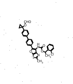 Cc1nc2c(NC(=O)OC(C)c3ccccc3Cl)c(-c3ccc(-c4ccc(C5(OC=O)CC5)cc4)cc3)oc2s1